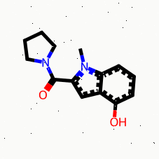 Cn1c(C(=O)N2CCCC2)cc2c(O)cccc21